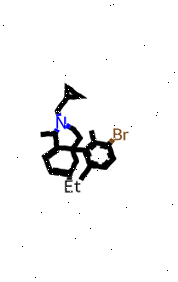 CCC1=CC=C2C(C)N(CC3CC3)CCC2(c2c(C)ccc(Br)c2C)C1